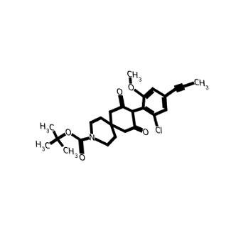 CC#Cc1cc(Cl)c(C2C(=O)CC3(CCN(C(=O)OC(C)(C)C)CC3)CC2=O)c(OC)c1